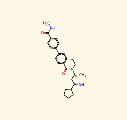 CNC(=O)c1ccc(-c2ccc3c(c2)CCN([C@H](C)CC(=N)C2CCCC2)C3=O)cc1